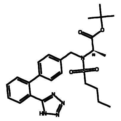 CCCCS(=O)(=O)N(Cc1ccc(-c2ccccc2-c2nnn[nH]2)cc1)[C@@H](C)C(=O)OC(C)(C)C